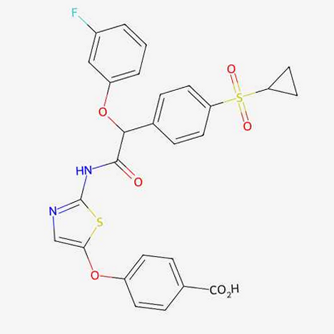 O=C(O)c1ccc(Oc2cnc(NC(=O)C(Oc3cccc(F)c3)c3ccc(S(=O)(=O)C4CC4)cc3)s2)cc1